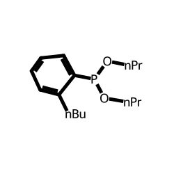 CCCCc1ccccc1P(OCCC)OCCC